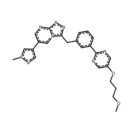 COCCCOc1cnc(-c2cccc(Cc3nnc4ncc(-c5cnn(C)c5)cn34)c2)nc1